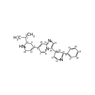 CC(C)C1CC(c2ccn3c(-c4ccnc(-c5ccccc5)c4)cnc3c2)=CCN1